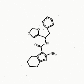 Nc1sc2c(c1C(=O)NC(Cc1ccccc1)C1=COCO1)CCCC2